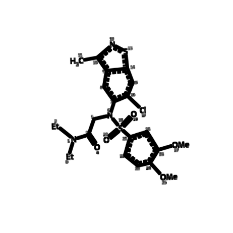 CCN(CC)C(=O)CN(c1cc2c(C)nsc2cc1Cl)S(=O)(=O)c1ccc(OC)c(OC)c1